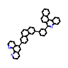 c1cc(-c2ccc3ccc4cc(-c5cc6cccnc6c6ncccc56)ccc4c3c2)cc(-c2nc3ccccc3c3c2ccc2ccccc23)c1